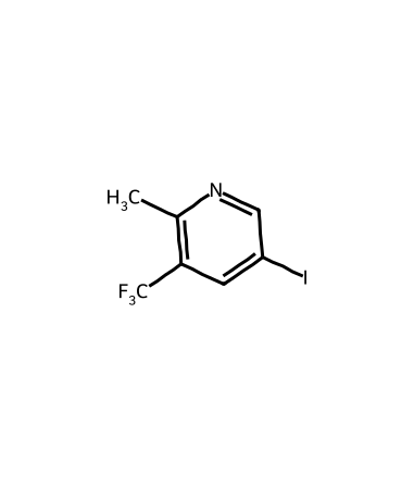 Cc1ncc(I)cc1C(F)(F)F